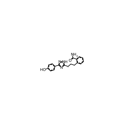 NC(=O)c1ccccc1CC[CH]c1nc(-c2ccc(O)cc2)n[nH]1